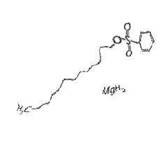 CCCCCCCCCCCCCCOS(=O)(=O)c1ccccc1.[MgH2]